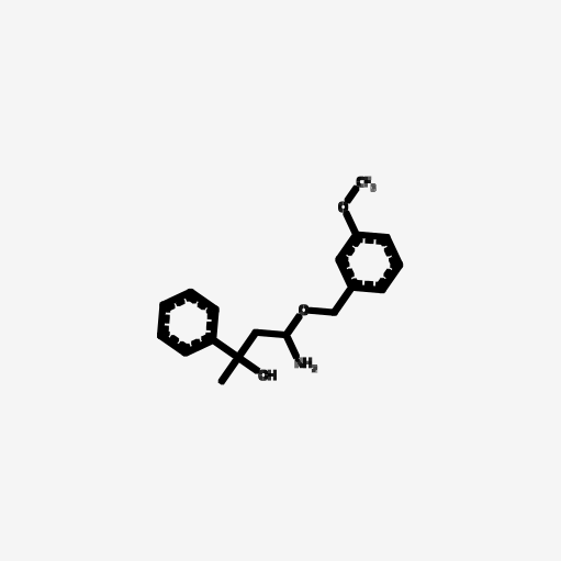 CC(O)(CC(N)OCc1cccc(OC(F)(F)F)c1)c1ccccc1